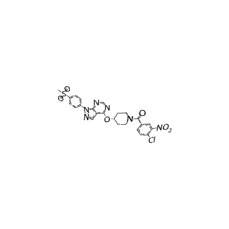 CS(=O)(=O)c1ccc(-n2ncc3c(OC4CCN(C(=O)c5ccc(Cl)c([N+](=O)[O-])c5)CC4)ncnc32)cc1